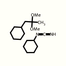 COC(C)(CC1CCCCC1)OC.N=C=NC1CCCCC1